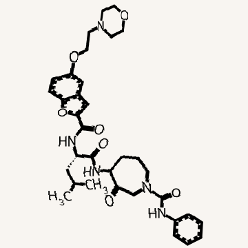 CC(C)C[C@H](NC(=O)c1cc2cc(OCCN3CCOCC3)ccc2o1)C(=O)NC1CCCN(C(=O)Nc2ccccc2)CC1=O